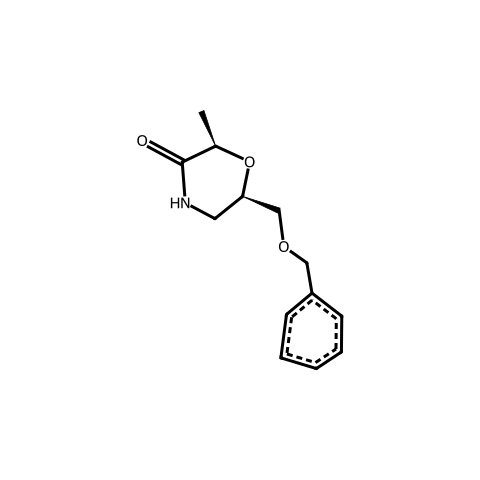 C[C@H]1O[C@@H](COCc2ccccc2)CNC1=O